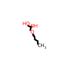 CCCCC=COCC(O)CO